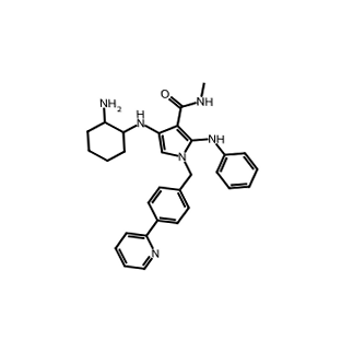 CNC(=O)c1c(NC2CCCCC2N)cn(Cc2ccc(-c3ccccn3)cc2)c1Nc1ccccc1